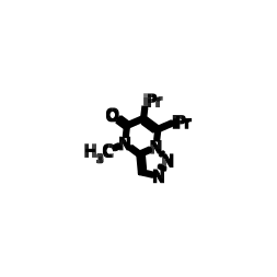 CC(C)c1c(C(C)C)n2nncc2n(C)c1=O